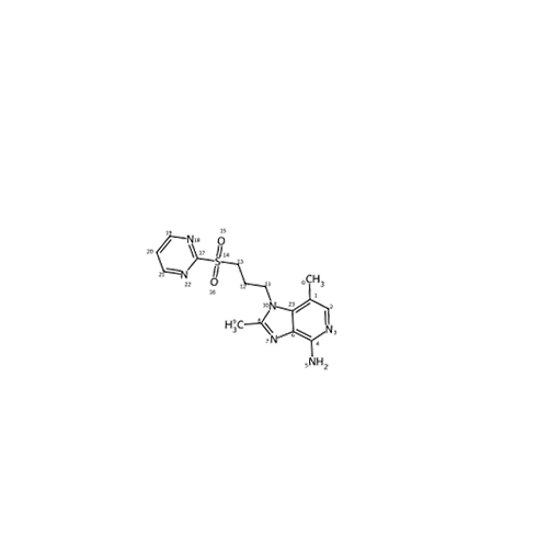 Cc1cnc(N)c2nc(C)n(CCCS(=O)(=O)c3ncccn3)c12